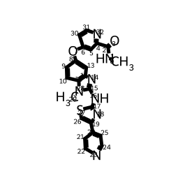 CNC(=O)c1cc(Oc2ccc3c(c2)nc(Nc2nc(-c4ccncc4)cs2)n3C)ccn1